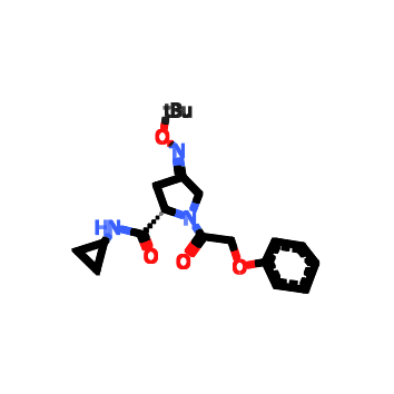 CC(C)(C)O/N=C1\C[C@@H](C(=O)NC2CC2)N(C(=O)COc2ccccc2)C1